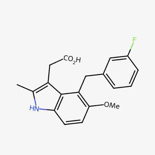 COc1ccc2[nH]c(C)c(CC(=O)O)c2c1Cc1cccc(F)c1